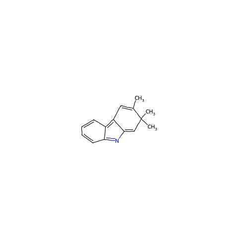 CC1=CC2=c3ccccc3=NC2=CC1(C)C